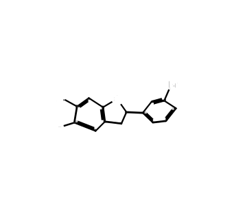 Fc1cc2c(cc1Cl)OC(c1cccc(Br)c1)C2